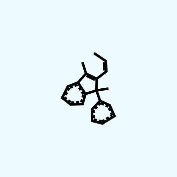 C/C=C\C1=C(C)c2ccccc2C1(C)c1ccccc1